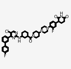 O=C1CCC(c2ccc(N3CCN(C4CCN(C(=O)C5CCCC(Nc6ncc(Cl)c(-c7cccc(-c8ccc(F)cc8)c7)n6)C5)CC4)CC3)c(F)c2)C(=O)N1